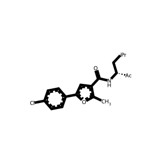 CC(=O)[C@@H](CC(C)C)NC(=O)c1cc(-c2ccc(Cl)cc2)oc1C